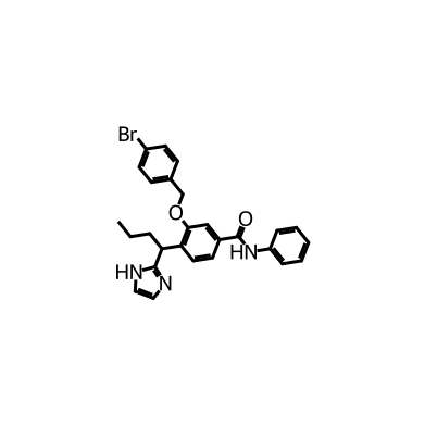 CCCC(c1ncc[nH]1)c1ccc(C(=O)Nc2ccccc2)cc1OCc1ccc(Br)cc1